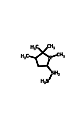 CC1CC([SiH2][SiH3])N(C)C1(C)C